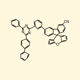 N#Cc1ccc2c(c1)-c1cc(-c3cccc(-c4nc(-c5ccccc5)nc(-c5ccc(-c6ccccc6)cc5)n4)c3)ccc1C21c2ccccc2Oc2ccccc21